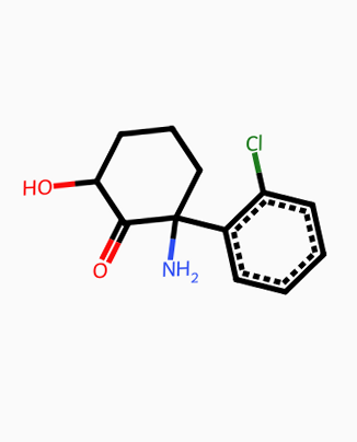 NC1(c2ccccc2Cl)CCCC(O)C1=O